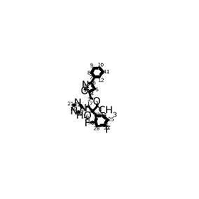 C[C@@H](OCc1cc(-c2ccccc2)no1)C(O)(Cn1cncn1)c1ccc(F)cc1F